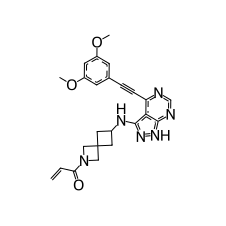 C=CC(=O)N1CC2(CC(Nc3n[nH]c4ncnc(C#Cc5cc(OC)cc(OC)c5)c34)C2)C1